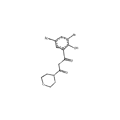 CC(=O)c1cc(Br)c(O)c(C(=O)CC(=O)N2CCOCC2)c1